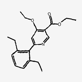 CCOC(=O)c1cnc(-c2c(CC)cccc2CC)cc1OCC